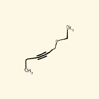 CCC#CCOCC